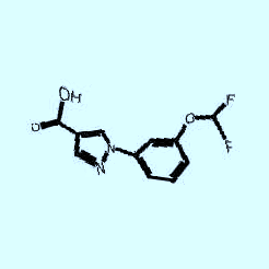 O=C(O)c1cnn(-c2cccc(OC(F)F)c2)c1